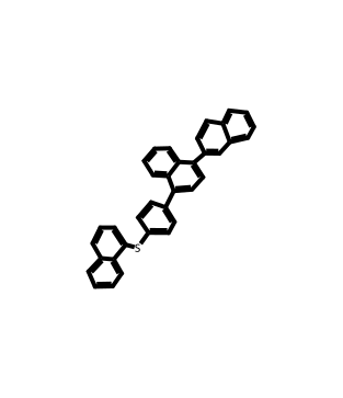 c1ccc2cc(-c3ccc(-c4ccc(Sc5cccc6ccccc56)cc4)c4ccccc34)ccc2c1